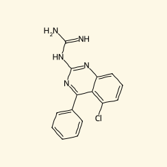 N=C(N)Nc1nc(-c2ccccc2)c2c(Cl)cccc2n1